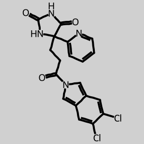 O=C1NC(=O)C(CCC(=O)n2cc3cc(Cl)c(Cl)cc3c2)(c2ccccn2)N1